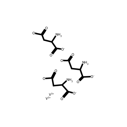 NC(CC(=O)[O-])C(=O)[O-].NC(CC(=O)[O-])C(=O)[O-].NC(CC(=O)[O-])C(=O)[O-].[V+3].[V+3]